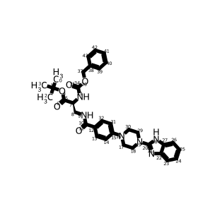 CC(C)(C)OC(=O)[C@H](CNC(=O)c1ccc(N2CCN(c3nc4ccccc4[nH]3)CC2)cc1)NC(=O)OCc1ccccc1